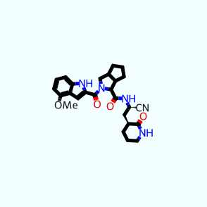 COc1cccc2[nH]c(C(=O)N3CC4CCCC4C3C(=O)N[C@H](C#N)C[C@@H]3CCCNC3=O)cc12